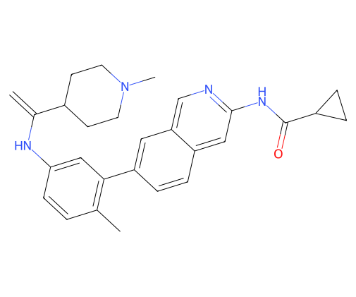 C=C(Nc1ccc(C)c(-c2ccc3cc(NC(=O)C4CC4)ncc3c2)c1)C1CCN(C)CC1